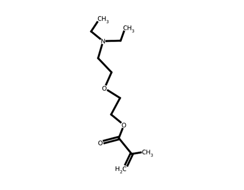 C=C(C)C(=O)OCCOCCN(CC)CC